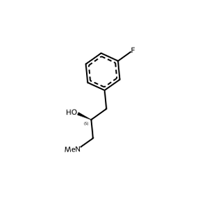 CNC[C@@H](O)Cc1cccc(F)c1